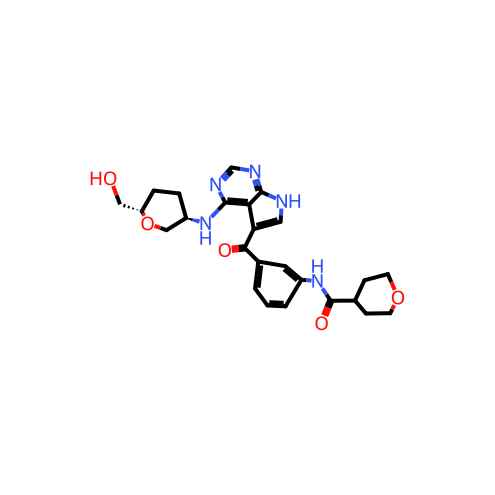 O=C(c1cccc(NC(=O)C2CCOCC2)c1)c1c[nH]c2ncnc(N[C@@H]3CC[C@@H](CO)OC3)c12